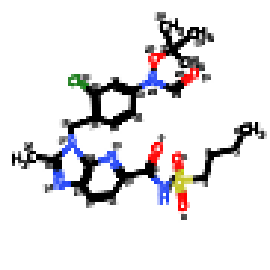 CCCCS(=O)(=O)NC(=O)c1ccc2nc(C)n(Cc3ccc(N(C=O)OC(C)(C)C)cc3Cl)c2n1